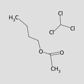 CCCCOC(C)=O.ClC(Cl)Cl